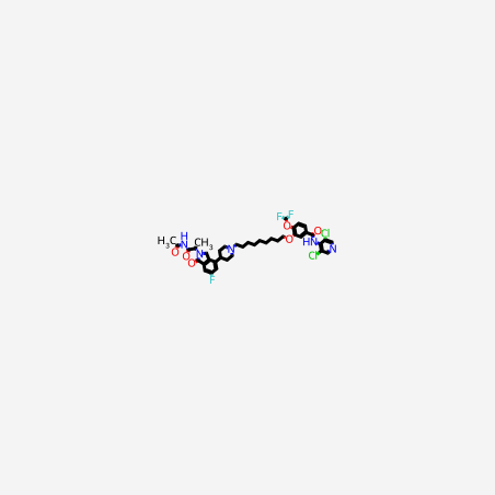 CC(=O)NC(=O)C(C)N1Cc2c(cc(F)cc2C2CCN(CCCCCCCCCOc3cc(C(=O)Nc4c(Cl)cncc4Cl)ccc3OC(F)F)CC2)C1=O